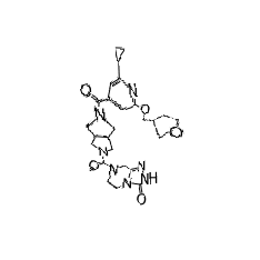 O=C(c1cc(OCC2CCOCC2)nc(C2CC2)c1)N1CC2=C(C1)CN(C(=O)N1CCn3c(n[nH]c3=O)C1)C2